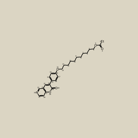 CCC(=O)OCCCCCCCCCCCOc1ccc(-c2cc3cnccc3oc2=O)cc1